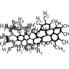 BBB(B)B(B(B)B)c1c(B(B(B)B)B(B)B)c(B(BB)B(B)B)c(B(B)B(B)B)c2c(B(B)BB)c(-c3c(C)c(C)c(C)c4c(-c5c(C)c(C)c(C)c6c(C)c(C)c(C)c(C)c56)c5c(C)c(C)c(C)c(C)c5c(C)c34)c(C)c(B)c12